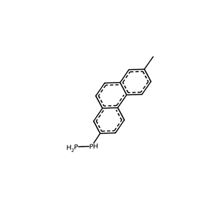 Cc1ccc2c(ccc3cc(PP)ccc32)c1